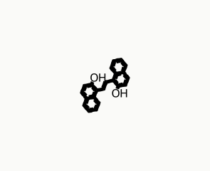 Oc1ccc2ccccc2c1C=Cc1c(O)ccc2ccccc12